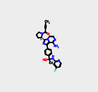 CC#CC(=O)N1CCC[C@H]1c1nc(-c2ccc(C(C)(O)Nc3cc(F)ccn3)cc2)c2c(N)nccn12